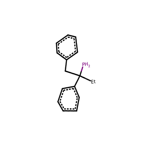 CCC(P)(Cc1ccccc1)c1ccccc1